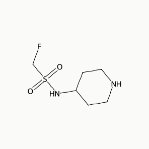 O=S(=O)(CF)NC1CCNCC1